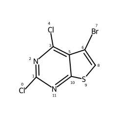 Clc1nc(Cl)c2c(Br)csc2n1